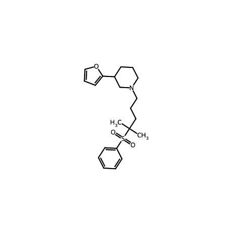 CC(C)(CCCN1CCCC(c2ccco2)C1)S(=O)(=O)c1ccccc1